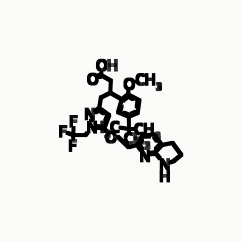 COc1ccc(C(C)(C)C)cc1C(CC(=O)O)Cc1cc(OCCc2ccc3c(n2)NCCC3)n(CC(F)(F)F)n1